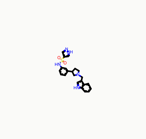 O=S(=O)(Nc1cccc(C2CCN(Cc3c[nH]c4ccccc34)C2)c1)c1cn[nH]c1